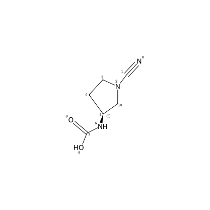 N#CN1CC[C@H](NC(=O)O)C1